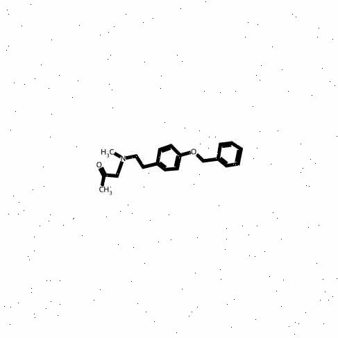 CC(=O)CN(C)CCc1ccc(OCc2ccccc2)cc1